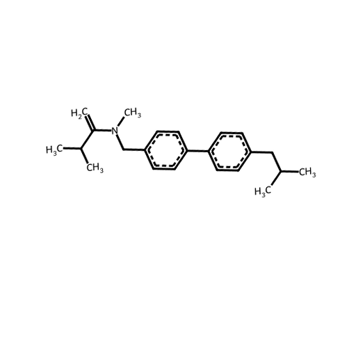 C=C(C(C)C)N(C)Cc1ccc(-c2ccc(CC(C)C)cc2)cc1